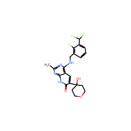 Cc1nc(NCc2cccc(C(F)F)c2F)c2cc(C3(O)CCOCC3)c(=O)[nH]c2n1